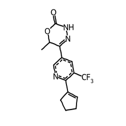 CC1OC(=O)NN=C1c1cnc(C2=CCCC2)c(C(F)(F)F)c1